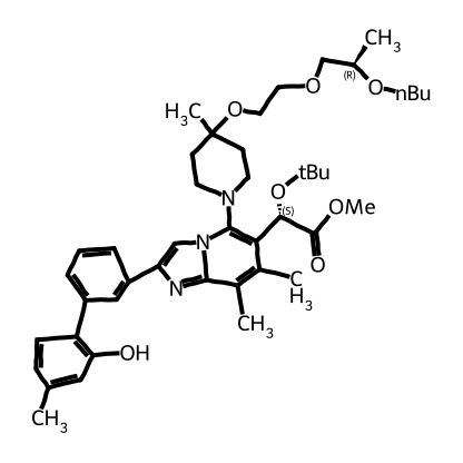 CCCCO[C@H](C)COCCOC1(C)CCN(c2c([C@H](OC(C)(C)C)C(=O)OC)c(C)c(C)c3nc(-c4cccc(-c5ccc(C)cc5O)c4)cn23)CC1